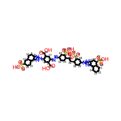 O=C(O)c1cc(-n2n3c4ccc5cc(S(=O)(=O)O)ccc5c4n23)c(C(=O)O)cc1N=Nc1ccc(C=Cc2ccc(-n3n4c5cc(S(=O)(=O)O)c6ccccc6c5n34)cc2S(=O)(=O)O)c(S(=O)(=O)O)c1